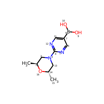 C[C@H]1CN(c2ncc(B(O)O)cn2)C[C@H](C)O1